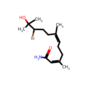 CC(=CC(N)=O)CCC=C(C)CCC(Br)C(C)(C)O